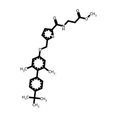 COC(=O)CCNC(=O)c1ccc(COc2cc(C)c(-c3ccc(C(C)(C)C)cc3)c(C)c2)s1